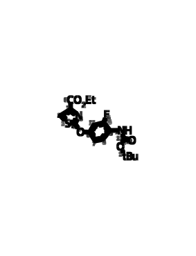 CCOC(=O)c1csc(Oc2ccc(NC(=O)OC(C)(C)C)c(F)c2)n1